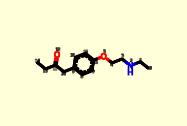 CCNCCOc1ccc(CC(=O)CC)cc1